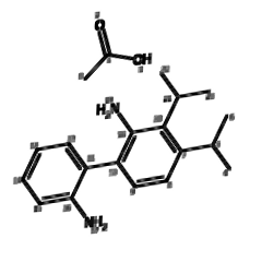 CC(=O)O.CC(C)c1ccc(-c2ccccc2N)c(N)c1C(C)C